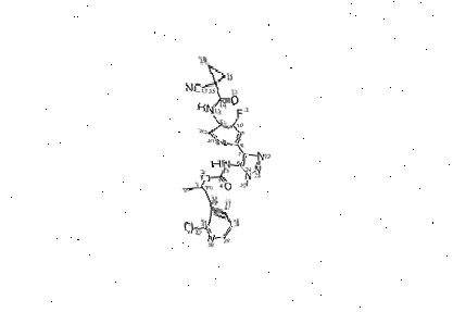 C[C@@H](OC(=O)Nc1c(-c2cc(F)c(NC(=O)C3(C#N)CC3)cn2)nnn1C)c1cccnc1Cl